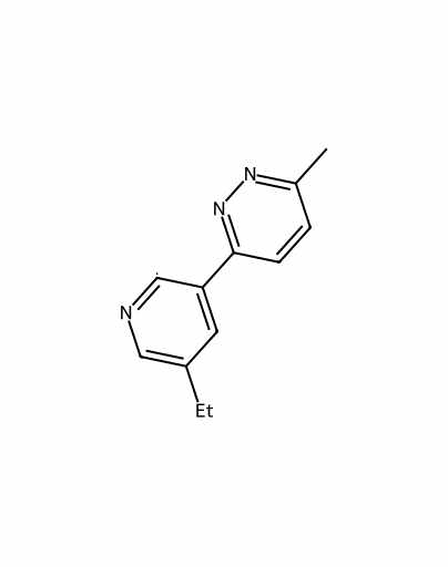 CCc1cn[c]c(-c2ccc(C)nn2)c1